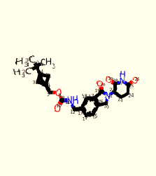 CC(C)(C)C12CC(COC(=O)NCc3ccc4c(c3)C(=O)N(C3CCC(=O)NC3=O)C4)(C1)C2